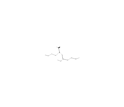 CCCCC(CC)CC(CCCC)C(=O)O